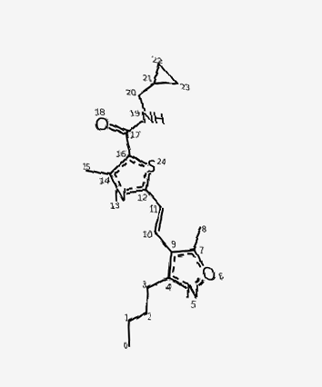 CCCCc1noc(C)c1C=Cc1nc(C)c(C(=O)NCC2CC2)s1